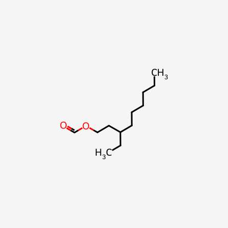 CCCCCCC(CC)CCOC=O